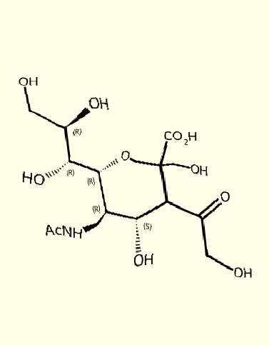 CC(=O)N[C@H]1[C@H]([C@H](O)[C@H](O)CO)OC(O)(C(=O)O)C(C(=O)CO)[C@@H]1O